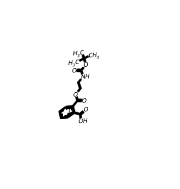 CC(C)(C)OC(=O)NCCOC(=O)c1c(C(=O)O)c2ccc1o2